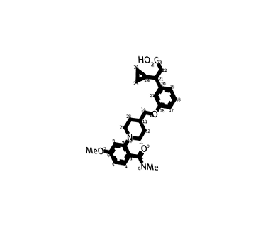 CNC(=O)c1ccc(OC)cc1N1CCC(COc2cccc(C(CC(=O)O)C3CC3)c2)CC1